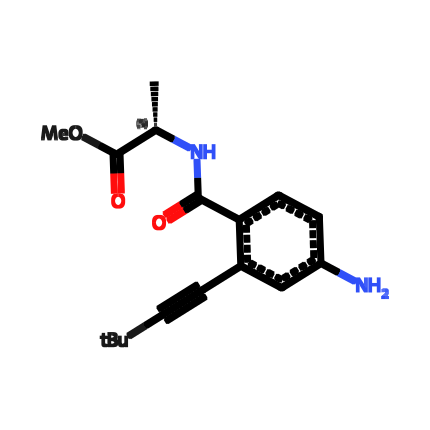 COC(=O)[C@H](C)NC(=O)c1ccc(N)cc1C#CC(C)(C)C